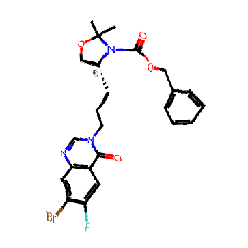 CC1(C)OC[C@@H](CCCn2cnc3cc(Br)c(F)cc3c2=O)N1C(=O)OCc1ccccc1